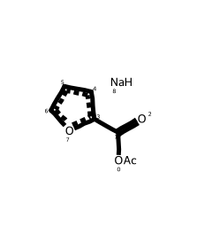 CC(=O)OC(=O)c1ccco1.[NaH]